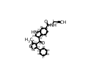 C#CCNC(=O)c1ccc2c(C(=O)c3c(-c4ccccc4)noc3C)c[nH]c2c1